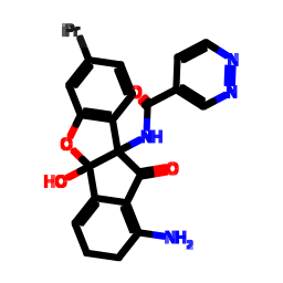 CC(C)c1ccc2c(c1)OC1(O)C3=CCCC(N)=C3C(=O)C21NC(=O)c1ccnnc1